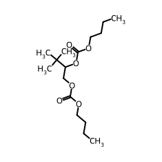 CCCCOC(=O)OCC(OC(=O)OCCCC)C(C)(C)C